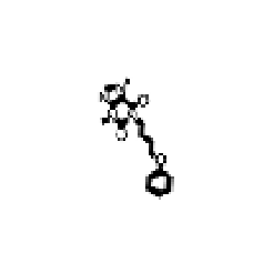 Cn1cnc2c1c(=O)n(CCCCOc1ccccc1)c(=O)n2C